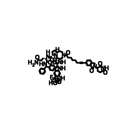 NC(=O)CC[C@H](NC(=O)[C@@H]1CC[C@@H]2CCN(C(=O)CCCCCC#Cc3ccc4c(c3)C(=O)N(C3CCC(=O)NC3=O)C4)C[C@H](NC(=O)c3cc4cc(C(F)(F)P(=O)(O)O)ccc4[nH]3)C(=O)N21)C(=O)NC(c1ccccc1)c1ccccc1